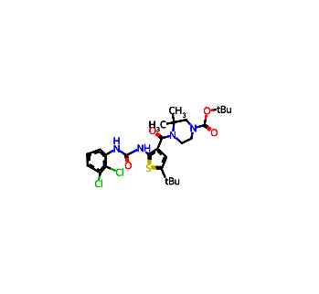 CC(C)(C)OC(=O)N1CCN(C(=O)c2cc(C(C)(C)C)sc2NC(=O)Nc2cccc(Cl)c2Cl)C(C)(C)C1